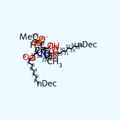 CCCCCCCCCCCCCCCCCC(=O)OCC(C)C[N+](C)(CC(C)CO)CC(C)COC(=O)CCCCCCCCCCCCCCCCC.COS(=O)(=O)[O-]